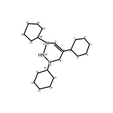 C1=C(C2CCCCC2)CN(C2CCCCC2)NN1C1CCCCC1